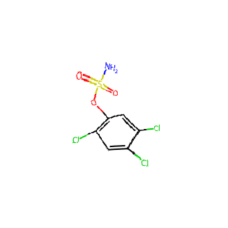 NS(=O)(=O)Oc1cc(Cl)c(Cl)cc1Cl